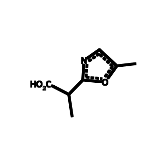 Cc1cnc(C(C)C(=O)O)o1